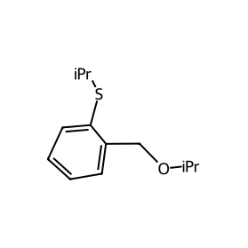 CC(C)OCc1ccccc1SC(C)C